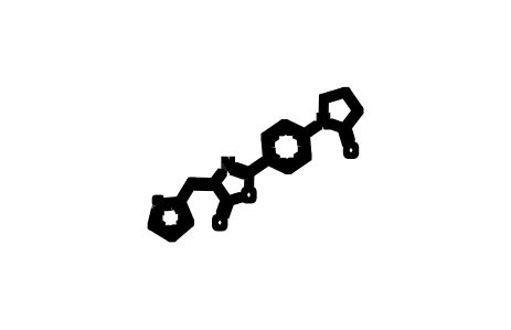 O=C1OC(c2ccc(N3CCCC3=O)cc2)=N/C1=C/c1cccs1